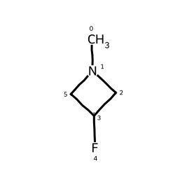 CN1C[C](F)C1